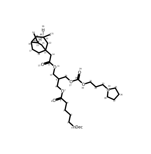 CCCCCCCCCCCCCCC(=O)OCC(COC(=O)CC12CCC(C[C@@H](I)C1)[C@H](C)C2)COC(=O)OCCCN1CCCC1